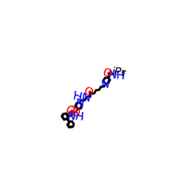 CC(C)NC(=O)C1CCN(CCCCCC(=O)CNCCN2CCC(OC(=O)Nc3ccccc3-c3ccccc3)CC2)CC1